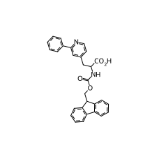 O=C(NC(Cc1ccnc(-c2ccccc2)c1)C(=O)O)OCC1c2ccccc2-c2ccccc21